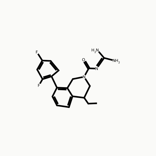 CCC1CN(C(=O)N=C(N)N)Cc2c(-c3ccc(F)cc3F)cccc21